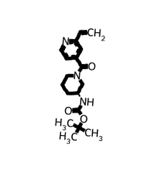 C=Cc1cc(C(=O)N2CCC[C@@H](NC(=O)OC(C)(C)C)C2)ccn1